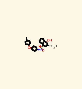 Cc1ccc(Oc2ccc(NS(=O)(=O)c3cc(C(=O)O)c(O)c4ccccc34)cc2)cc1